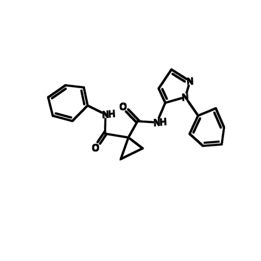 O=C(Nc1ccccc1)C1(C(=O)Nc2ccnn2-c2ccccc2)CC1